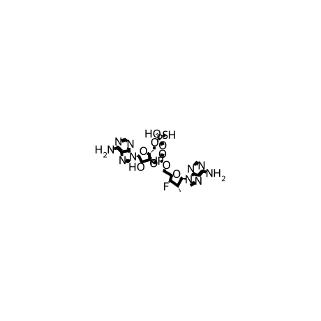 C[C@H]1[C@H](n2cnc3c(N)ncnc32)OC(CO[PH](=O)O[C@H]2[C@@H](O)[C@H](n3cnc4c(N)ncnc43)O[C@@H]2COP(=O)(O)S)[C@@H]1F